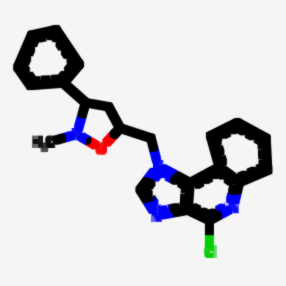 CN1OC(Cn2cnc3c(Cl)nc4ccccc4c32)CC1c1ccccc1